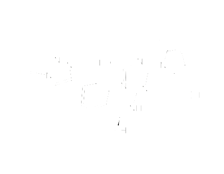 CC[C@H]1COC(=O)N1c1nc(C)nc(N[C@@H](C)c2ccc(-c3cn(C)nn3)cc2)n1